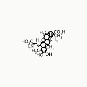 Cc1c(O)c(O)cc2c1C(SC[C@@H](N)C(=O)O)C=C1[C@@]2(C)CC[C@@]2(C)[C@@H]3C[C@](C)(C(=O)O)CC[C@]3(C)CC[C@]12C